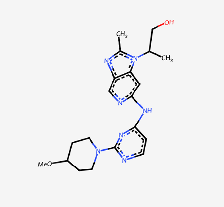 COC1CCN(c2nccc(Nc3cc4c(cn3)nc(C)n4C(C)CO)n2)CC1